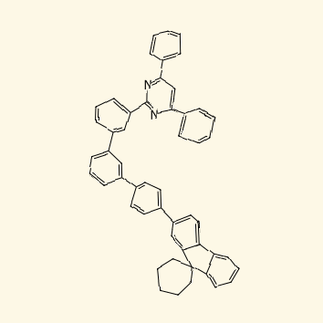 c1ccc(-c2cc(-c3ccccc3)nc(-c3cccc(-c4cccc(-c5ccc(-c6ccc7c(c6)C6(CCCCC6)c6ccccc6-7)cc5)c4)c3)n2)cc1